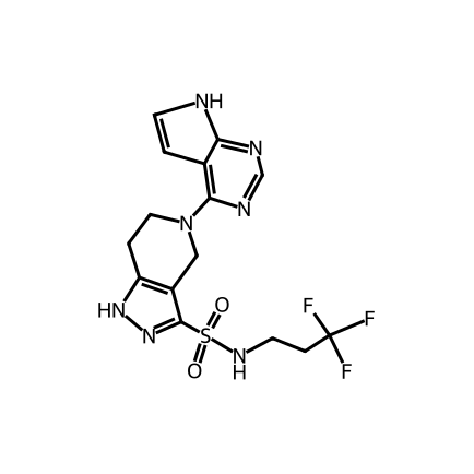 O=S(=O)(NCCC(F)(F)F)c1n[nH]c2c1CN(c1ncnc3[nH]ccc13)CC2